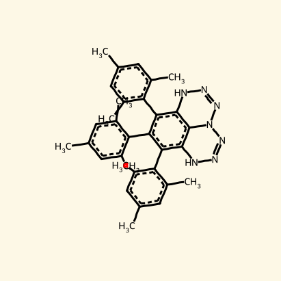 Cc1cc(C)c(-c2c3c4c(c(-c5c(C)cc(C)cc5C)c2-c2c(C)cc(C)cc2C)NN=NN4N=NN3)c(C)c1